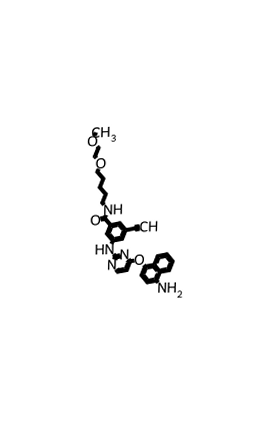 C#Cc1cc(Nc2nccc(Oc3ccc(N)c4ccccc34)n2)cc(C(=O)NCCCCCOCCOC)c1